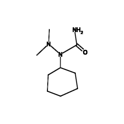 CN(C)N(C(N)=O)C1CCCCC1